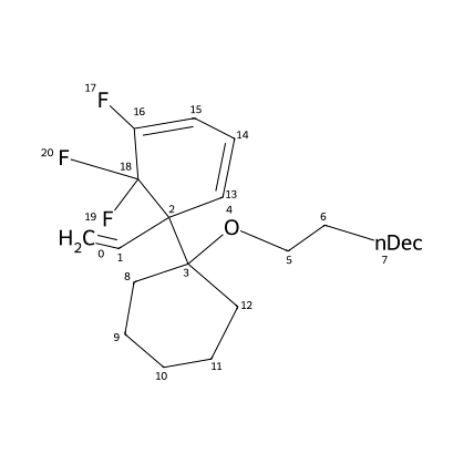 C=CC1(C2(OCCCCCCCCCCCC)CCCCC2)C=CC=C(F)C1(F)F